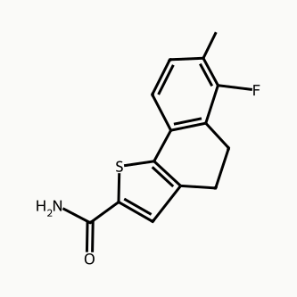 Cc1ccc2c(c1F)CCc1cc(C(N)=O)sc1-2